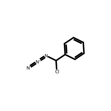 [N-]=[N+]=NC(Cl)c1ccccc1